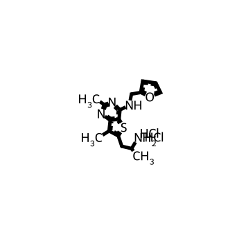 Cc1nc(NCc2ccco2)c2sc(CC(C)N)c(C)c2n1.Cl.Cl